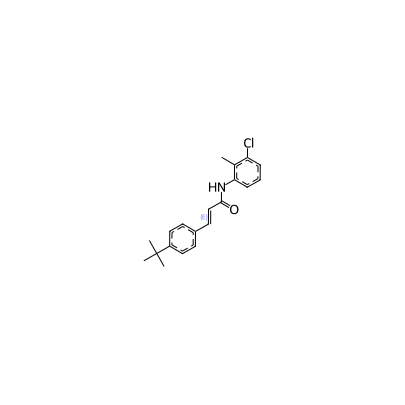 Cc1c(Cl)cccc1NC(=O)/C=C/c1ccc(C(C)(C)C)cc1